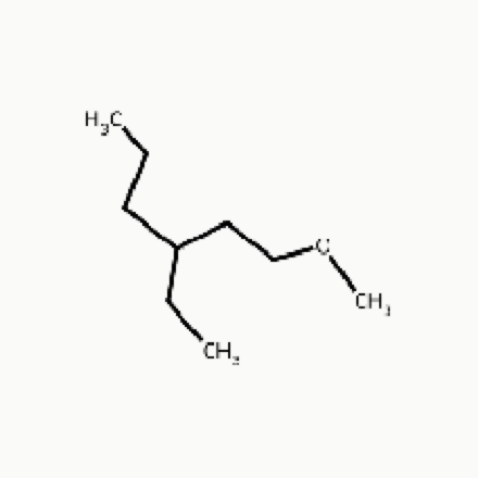 CCC[C](CC)CCOC